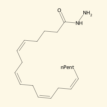 CCCCC/C=C\C/C=C\C/C=C\C/C=C\CCCC(=O)NN